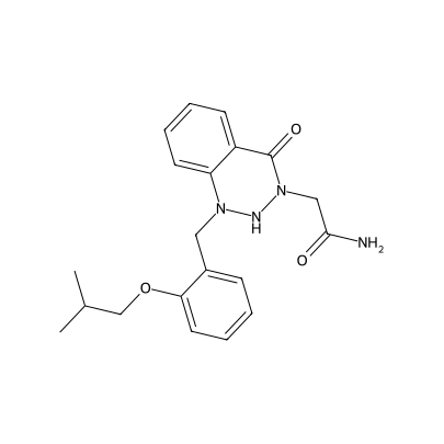 CC(C)COc1ccccc1CN1NN(CC(N)=O)C(=O)c2ccccc21